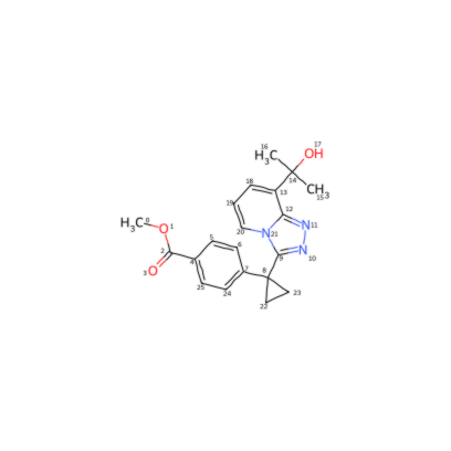 COC(=O)c1ccc(C2(c3nnc4c(C(C)(C)O)cccn34)CC2)cc1